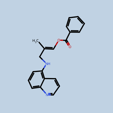 CC(=COC(=O)c1ccccc1)CNc1cccc2ncccc12